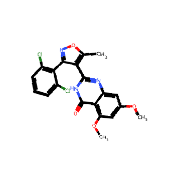 COc1cc(OC)c2c(=O)[nH]c(-c3c(-c4c(Cl)cccc4Cl)noc3C)nc2c1